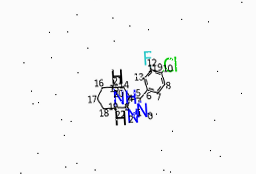 Cn1nc2c(c1-c1ccc(Cl)c(F)c1)C[C@H]1CCC[C@@H]2N1